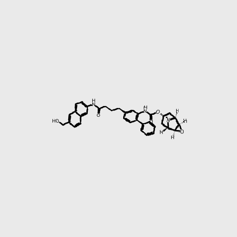 CN1[C@H]2C[C@H](OC(=O)Nc3cc(CCCC(=O)Nc4ccc5cc(CO)ccc5c4)ccc3-c3ccccc3)C[C@H]1[C@H]1O[C@H]12